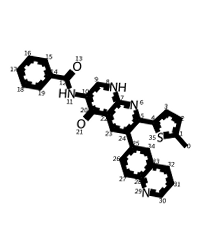 Cc1ccc(-c2nc3[nH]cc(NC(=O)c4ccccc4)c(=O)c3cc2-c2ccc3ncccc3c2)s1